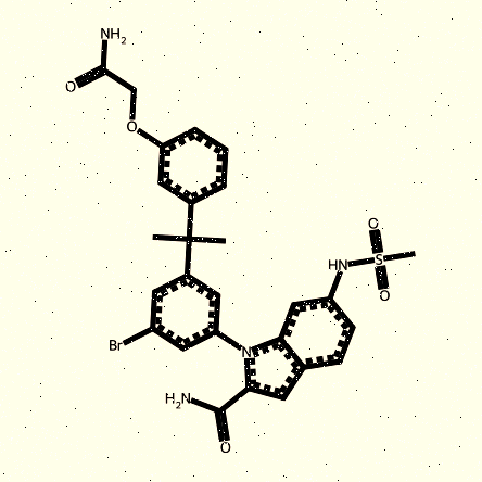 CC(C)(c1cccc(OCC(N)=O)c1)c1cc(Br)cc(-n2c(C(N)=O)cc3ccc(NS(C)(=O)=O)cc32)c1